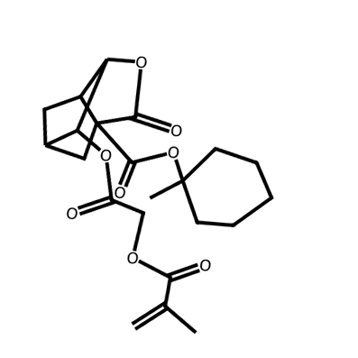 C=C(C)C(=O)OCC(=O)OC1C2CC3C1OC(=O)C3(C(=O)OC1(C)CCCCC1)C2